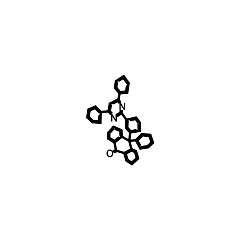 O=C1c2ccccc2C(c2ccccc2)(c2cccc(-c3nc(-c4ccccc4)cc(-c4ccccc4)n3)c2)c2ccccc21